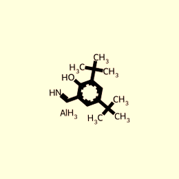 CC(C)(C)c1cc(C=N)c(O)c(C(C)(C)C)c1.[AlH3]